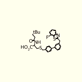 CC(C)(C)CCC(=O)NC(CSCc1ccc(-c2cccc(Cc3nc4cccc(F)c4s3)c2)cc1)C(=O)O